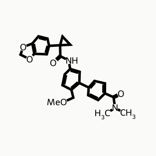 COCc1ccc(NC(=O)C2(c3ccc4c(c3)OCO4)CC2)cc1-c1ccc(C(=O)N(C)C)cc1